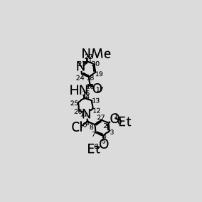 CCOc1cc(OCC)cc(C(Cl)N2CCC(NC(=O)c3ccc(NC)nc3)CC2)c1